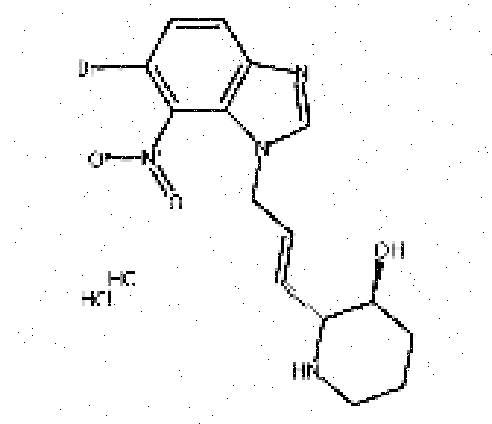 Cl.Cl.O=[N+]([O-])c1c(Br)ccc2ncn(C/C=C/[C@H]3NCCC[C@@H]3O)c12